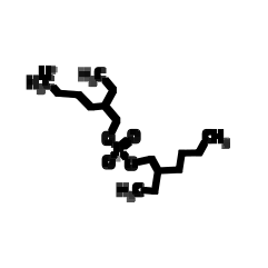 CCCCC(CC)COP(=O)([O-])OCC(CC)CCCC.[Li+]